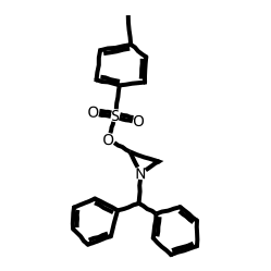 Cc1ccc(S(=O)(=O)OC2CN2C(c2ccccc2)c2ccccc2)cc1